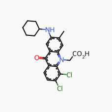 Cc1cc2c(cc1NC1CCCCC1)c(=O)c1ccc(Cl)c(Cl)c1n2CC(=O)O